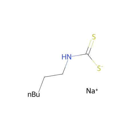 CCCCCCNC(=S)[S-].[Na+]